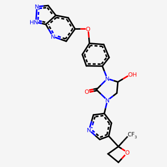 O=C1N(c2cncc(C3(C(F)(F)F)CCO3)c2)CC(O)N1c1ccc(Oc2cnc3[nH]ncc3c2)cc1